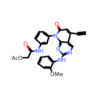 C#Cc1cc(=O)n(-c2cccc(NC(=O)COC(C)=O)c2)c2nc(Nc3ccccc3OC)ncc12